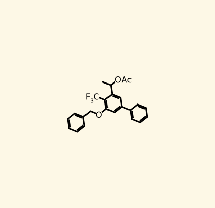 CC(=O)OC(C)c1cc(-c2ccccc2)cc(OCc2ccccc2)c1C(F)(F)F